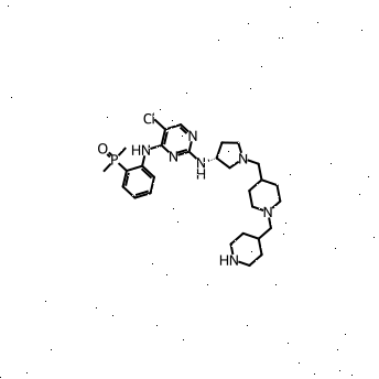 CP(C)(=O)c1ccccc1Nc1nc(N[C@@H]2CCN(CC3CCN(CC4CCNCC4)CC3)C2)ncc1Cl